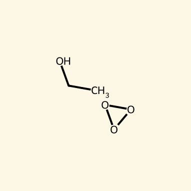 CCO.o1oo1